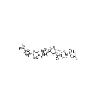 CC(C)N1CCN(C(=O)c2cccc(-c3cn(Cc4ccc(-c5nnc(C(F)F)o5)cn4)nn3)c2)CC1